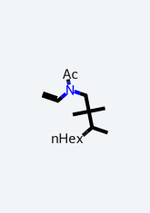 C=CN(CC(C)(C)C(C)CCCCCC)C(C)=O